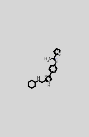 N/C(=N\c1ccc(-c2c[nH]c(CNC3CCCCC3)n2)cc1)c1cccs1